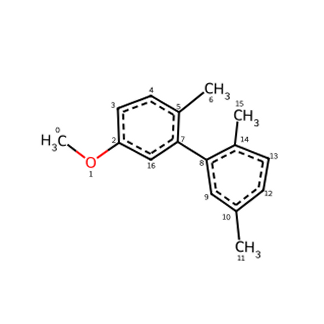 COc1ccc(C)c(-c2cc(C)ccc2C)c1